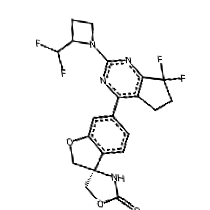 O=C1N[C@@]2(CO1)COc1cc(-c3nc(N4CCC4C(F)F)nc4c3CCC4(F)F)ccc12